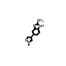 Cn1cc(-c2ccc3[nH]c(N)nc3c2)cn1